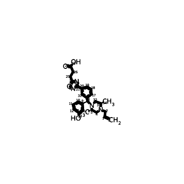 C=CCN1C[C@H](C)N([C@@H](c2cccc(O)c2)c2cccc(-c3noc(CCC(=O)O)n3)c2)C[C@H]1C